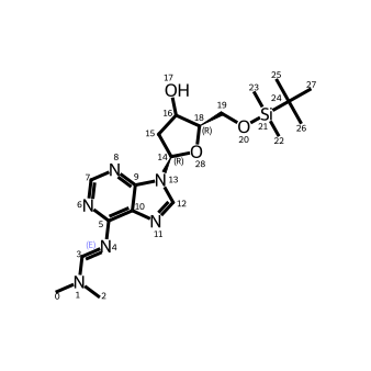 CN(C)/C=N/c1ncnc2c1ncn2[C@H]1CC(O)[C@@H](CO[Si](C)(C)C(C)(C)C)O1